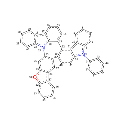 c1ccc(-n2c3ccccc3c3c(-c4cccc5c6ccccc6n(-c6ccc7c(c6)oc6ccccc67)c45)cccc32)cc1